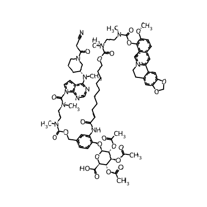 COc1ccc2cc3[n+](cc2c1OC(=O)N(C)CCN(C)C(=O)OCCCCCCCCCC(=O)Nc1cc(COC(=O)N(C)CCN(C)C(=O)n2ccc4c(N(C)[C@@H]5CCCN(C(=O)CC#N)C5)ncnc42)ccc1O[C@@H]1O[C@H](C(=O)O)[C@@H](OC(C)=O)[C@H](OC(C)=O)[C@H]1OC(C)=O)CCc1cc2c(cc1-3)OCO2